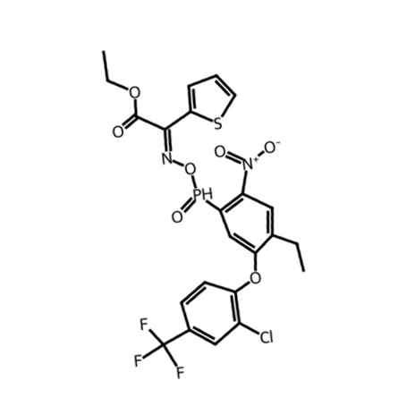 CCOC(=O)C(=NO[PH](=O)c1cc(Oc2ccc(C(F)(F)F)cc2Cl)c(CC)cc1[N+](=O)[O-])c1cccs1